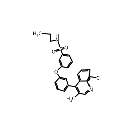 CCCNS(=O)(=O)c1cccc(Oc2cccc(-c3c(C)cnc4c(Cl)cccc34)c2)c1